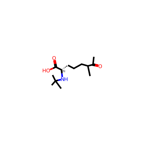 CC(=O)C(C)CCC[C@H](NC(C)(C)C)C(=O)O